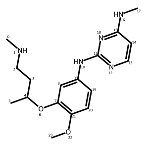 CNCCC(C)Oc1cc(Nc2nccc(NC)n2)ccc1OC